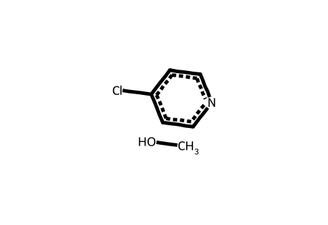 CO.Clc1ccncc1